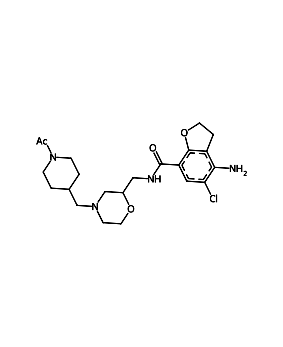 CC(=O)N1CCC(CN2CCOC(CNC(=O)c3cc(Cl)c(N)c4c3OCC4)C2)CC1